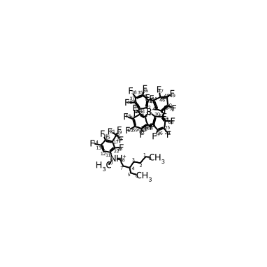 CCCCC(CC)CC[NH+](C)c1cc(F)c(F)c(C(F)(F)F)c1F.Fc1c(F)c(F)c([B-](c2c(F)c(F)c(F)c(F)c2F)(c2c(F)c(F)c(F)c(F)c2F)c2c(F)c(F)c(F)c(F)c2F)c(F)c1F